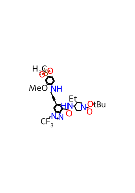 CCC1CN(C(=O)OC(C)(C)C)CCC1NC(=O)c1cc(C#CCNc2ccc(S(C)(=O)=O)cc2OC)cc2c1ncn2CC(F)(F)F